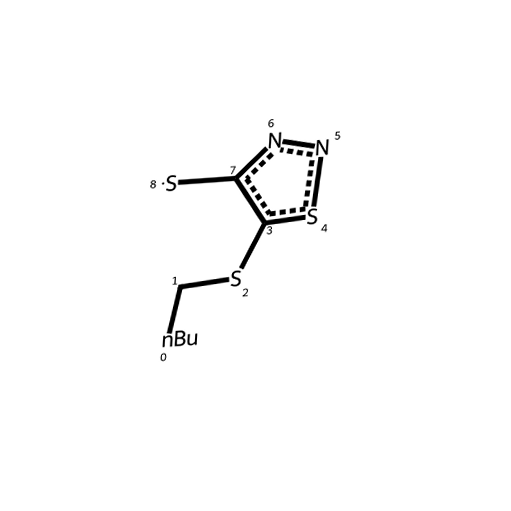 CCCCCSc1snnc1[S]